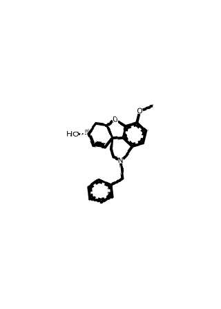 COc1ccc2c3c1OC1C[C@@H](O)C=CC31CCN(Cc1ccccc1)C2